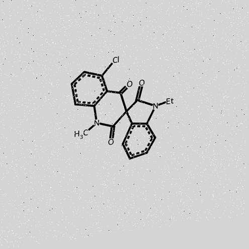 CCN1C(=O)C2(C(=O)c3c(Cl)cccc3N(C)C2=O)c2ccccc21